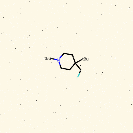 CC(C)(C)N1CCC(CF)(C(C)(C)C)CC1